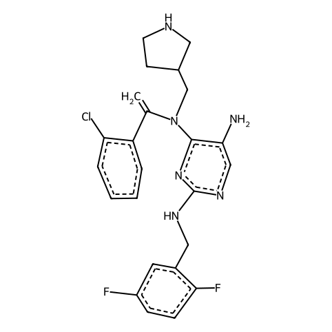 C=C(c1ccccc1Cl)N(CC1CCNC1)c1nc(NCc2cc(F)ccc2F)ncc1N